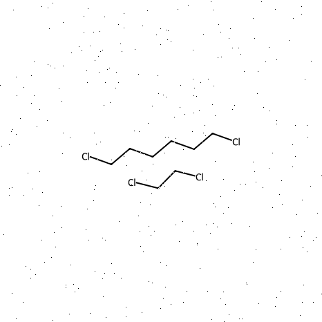 ClCCCCCCCl.ClCCCl